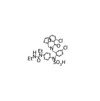 CCNC(=O)N(CC)c1ccc(N(c2ccc(Cl)cc2CN(Cc2ccco2)C(=O)c2ccccc2Cl)S(=O)(=O)O)cc1